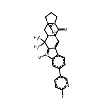 CC1(C)C2=[N+]([O-])c3cc(-c4ccc(F)nc4)ccc3C2=C[C@@]23NC(=O)[C@]4(CCCN4C2=O)CC13